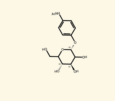 CC(=O)Nc1ccc(O[C@H]2OC(CO)[C@@H](O)[C@H](O)C2O)cc1